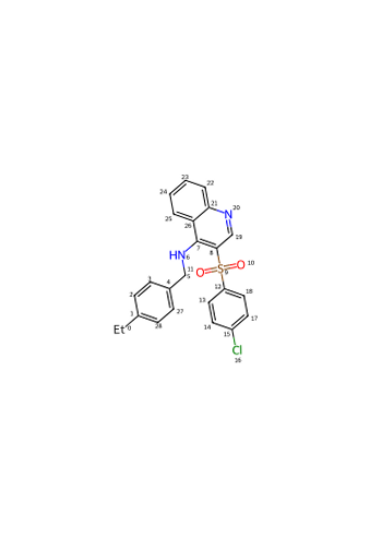 CCc1ccc(CNc2c(S(=O)(=O)c3ccc(Cl)cc3)cnc3ccccc23)cc1